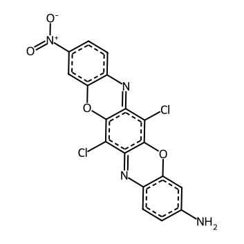 Nc1ccc2c(c1)Oc1c(Cl)c3c(c(Cl)c1=N2)Oc1cc([N+](=O)[O-])ccc1N=3